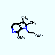 COCCn1c(C)c(C)c2ccnc(OC)c21